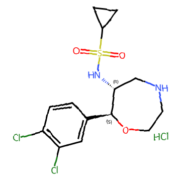 Cl.O=S(=O)(N[C@@H]1CNCCO[C@H]1c1ccc(Cl)c(Cl)c1)C1CC1